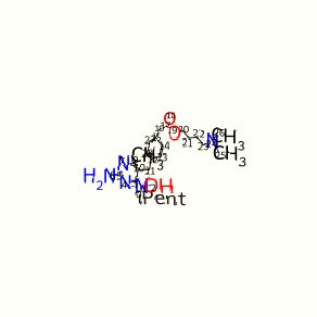 CCCC(C)N(O)c1nc(N)nc(C)c1Cc1ccc(CC(=O)OCCCCN(C)C)cc1